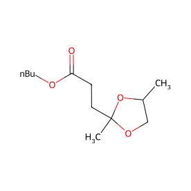 CCCCOC(=O)CCC1(C)OCC(C)O1